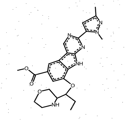 CCC(Oc1cc(C(=O)OC)cc2c1[nH]c1nc(-c3cc(C)nn3C)ncc12)C1COCCN1